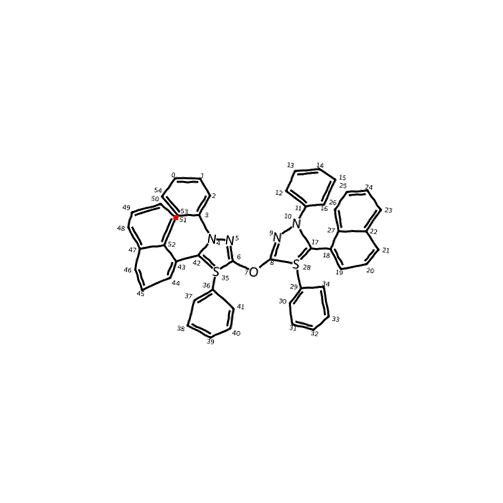 c1ccc(N2N=C(OC3=NN(c4ccccc4)C(c4cccc5ccccc45)=S3c3ccccc3)S(c3ccccc3)=C2c2cccc3ccccc23)cc1